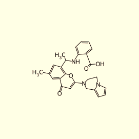 Cc1cc(C(C)Nc2ccccc2C(=O)O)c2oc(N3CCn4cccc4C3)cc(=O)c2c1